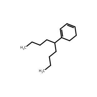 CCCCC(CCCC)C1=CC=CCC1